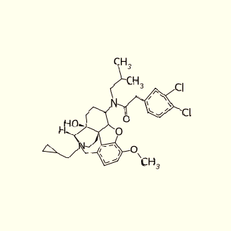 COc1ccc2c3c1OC1C(N(CC(C)C)C(=O)Cc4ccc(Cl)c(Cl)c4)CC[C@@]4(O)[C@@H](C2)N(CC2CC2)CC[C@]314